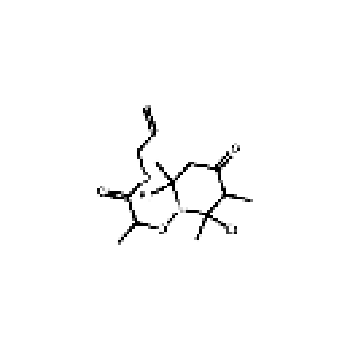 C=CCOC(=O)C(C)ON1C(C)(CC)CC(=O)C(C)C1(C)CC